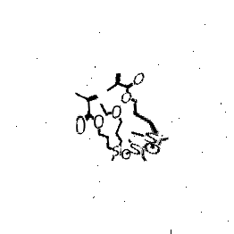 C=C(C)C(=O)OCCC[Si](C)(C)O[Si](C)(C)O[Si](C)(CCCOCC)CCCOC(=O)C(=C)C